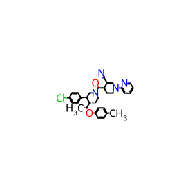 Cc1ccc(O[C@@H](C)[C@H]2CCN(C(=O)C3CCN(c4ccccn4)CC3C#N)C[C@@H]2c2ccc(Cl)cc2)cc1